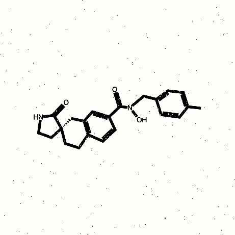 Cc1ccc(CN(O)C(=O)c2ccc3c(c2)C[C@@]2(CCNC2=O)CC3)cc1